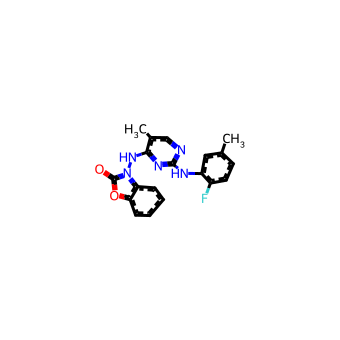 Cc1ccc(F)c(Nc2ncc(C)c(Nn3c(=O)oc4ccccc43)n2)c1